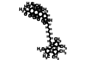 Cc1cc(C)cc([PH](CCCCCCCCCCC(=O)Nc2ccc3c(c2O)C(=O)C2=C(O)[C@]4(O)C(=O)C(C(N)=O)=C(O)[C@@H](N(C)C)[C@@H]4[C@@H](O)[C@@H]2[C@H]3C)(c2cc(C)cc(C)c2)c2cc(C)cc(C)c2)c1